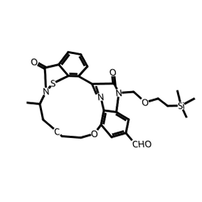 CC1CCCCOc2cc(C=O)cc3c2nc(c(=O)n3COCC[Si](C)(C)C)-c2cccc3c(=O)n1sc23